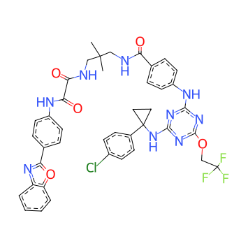 CC(C)(CNC(=O)C(=O)Nc1ccc(-c2nc3ccccc3o2)cc1)CNC(=O)c1ccc(Nc2nc(NC3(c4ccc(Cl)cc4)CC3)nc(OCC(F)(F)F)n2)cc1